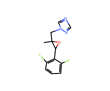 CC1(Cn2cncn2)OC1c1c(F)cccc1F